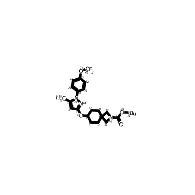 Cc1cc(OC2CCC3(CC2)CN(C(=O)OC(C)(C)C)C3)nn1-c1ccc(OC(F)(F)F)cc1